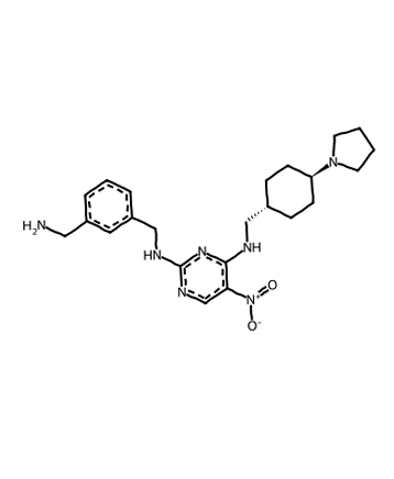 NCc1cccc(CNc2ncc([N+](=O)[O-])c(NC[C@H]3CC[C@H](N4CCCC4)CC3)n2)c1